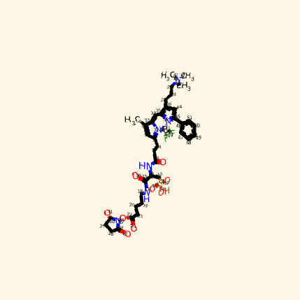 CC1=CC(CCC(=O)NC(CS(=O)(=O)O)C(=O)NCCCCC(=O)ON2C(=O)CCC2=O)=[N+]2C1=Cc1c(CCC[N+](C)(C)C)cc(-c3ccccc3)n1[B-]2(F)F